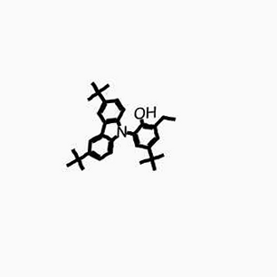 CCc1cc(C(C)(C)C)cc(-n2c3ccc(C(C)(C)C)cc3c3cc(C(C)(C)C)ccc32)c1O